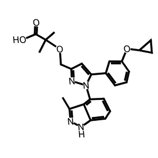 Cc1n[nH]c2cccc(-n3nc(COC(C)(C)C(=O)O)cc3-c3cccc(OC4CC4)c3)c12